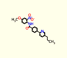 CCCc1ccc(-c2ccc(C(=O)Nc3ccc(OC)cc3[N+](=O)[O-])cc2)nc1